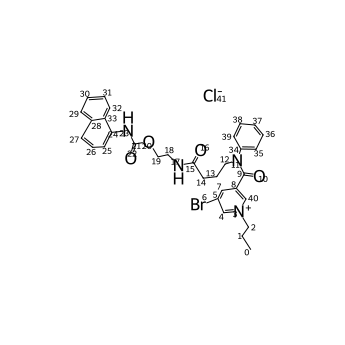 CCC[n+]1cc(Br)cc(C(=O)N(CCCC(=O)NCCOC(=O)Nc2cccc3ccccc23)c2ccccc2)c1.[Cl-]